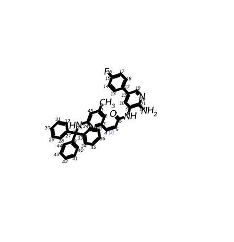 Cc1cc(/C=C\C(=O)Nc2cc(-c3ccc(F)cc3)cnc2N)nc(NC(c2ccccc2)(c2ccccc2)c2ccccc2)c1